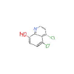 Oc1ccc(Cl)c2c(Cl)ccnc12